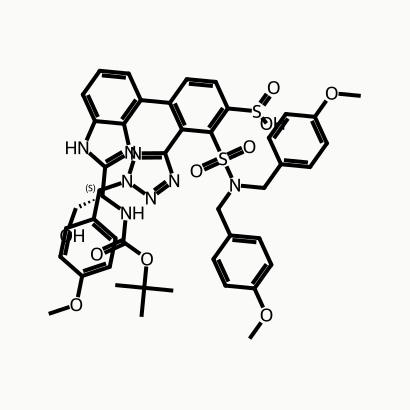 COc1ccc(CN(Cc2ccc(OC)cc2)S(=O)(=O)c2c(S(=O)O)ccc(-c3cccc4[nH]c([C@@H](CO)NC(=O)OC(C)(C)C)nc34)c2-c2nnn(Cc3ccc(OC)cc3)n2)cc1